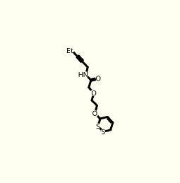 CCC#CCNC(=O)COCCOC1C=CCSS1